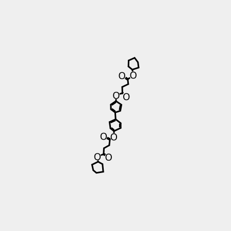 O=C(CCC(=O)OC1CCCCC1)Oc1ccc(-c2ccc(OC(=O)CCC(=O)OC3CCCCC3)cc2)cc1